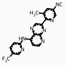 [C-]#[N+]c1cnc(-c2cnc3c(Nc4ccc(C(F)(F)F)cn4)ccnc3n2)c(C)c1